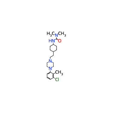 Cc1c(Cl)cccc1N1CCN(CCC2CCC(NC(=O)N(C)C)CC2)CC1